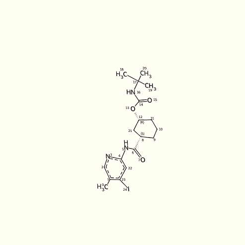 Cc1cnc(NC(=O)[C@H]2CCC[C@@H](OC(=O)NC(C)(C)C)C2)cc1I